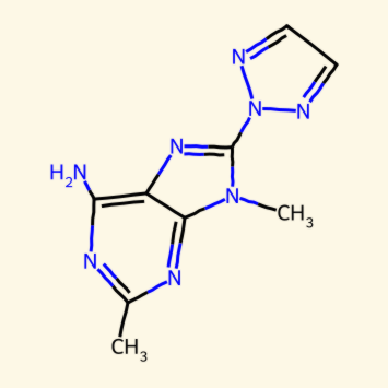 Cc1nc(N)c2nc(-n3nccn3)n(C)c2n1